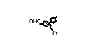 Cc1ccc([Si]2(CCCC(C)C)CCC(CC=O)CC2)cc1